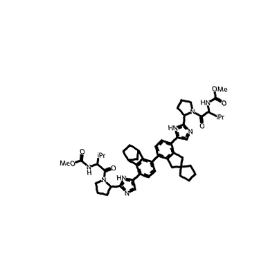 COC(=O)NC(C(=O)N1CCCC1c1ncc(-c2ccc(-c3ccc(-c4cnc(C5CCCN5C(=O)C(NC(=O)OC)C(C)C)[nH]4)c4c3C3CCC4C3)c3c2CC2(CCCC2)C3)[nH]1)C(C)C